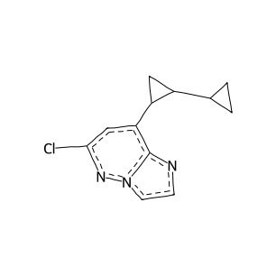 Clc1cc(C2CC2C2CC2)c2nccn2n1